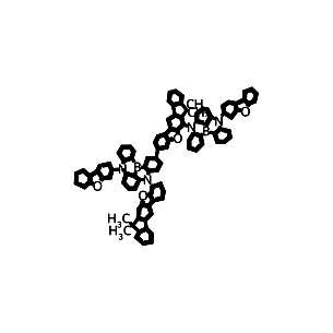 CC1(C)c2ccccc2-c2cc3c(cc21)oc1c(N2c4ccc(-c5ccc6c(c5)oc5c(N7c8ccccc8B8c9ccccc9N(c9ccc%10c(c9)oc9ccccc9%10)c9cccc7c98)c7c(cc56)-c5ccccc5C7(C)C)cc4B4c5ccccc5N(c5ccc6c(c5)oc5ccccc56)c5cccc2c54)cccc13